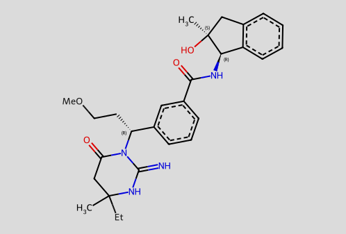 CCC1(C)CC(=O)N([C@H](CCOC)c2cccc(C(=O)N[C@@H]3c4ccccc4C[C@]3(C)O)c2)C(=N)N1